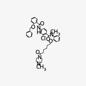 CN1CCN(C(=O)CCCCCOc2ccccc2N(C)C(=O)c2ccc(NC(=O)c3ccccc3OCc3ccccc3)cc2Cl)CC1